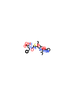 C=CCOC(CC(C(C)C)N(C)C(=O)C(NC(=O)[C@H]1CCCCN1C)C(C)CC)c1nc(C(=O)NC(Cc2ccccc2)CC(C)C(=O)O)cs1